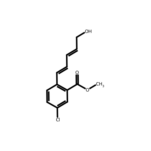 COC(=O)c1cc(Cl)ccc1C=CC=CCO